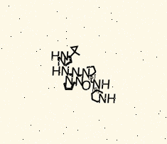 CC1(c2cc(Nc3nc(N4CCC[C@H]4C(=O)N[C@@H]4CCCNC4)nc4cccn34)n[nH]2)CC1